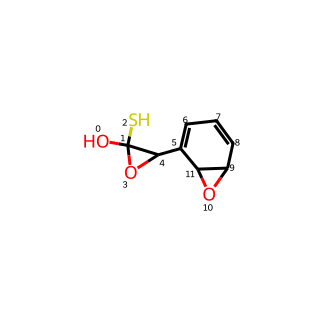 OC1(S)OC1C1=CC=CC2OC12